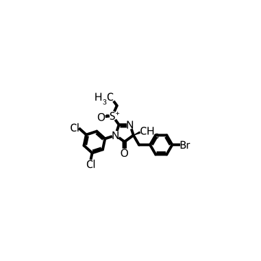 CC[S+]([O-])C1=N[C@](C)(Cc2ccc(Br)cc2)C(=O)N1c1cc(Cl)cc(Cl)c1